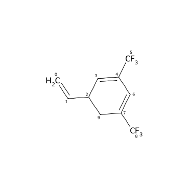 C=CC1C=C(C(F)(F)F)C=C(C(F)(F)F)C1